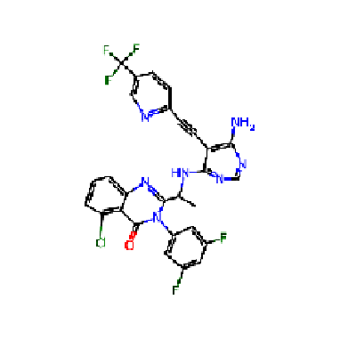 CC(Nc1ncnc(N)c1C#Cc1ccc(C(F)(F)F)cn1)c1nc2cccc(Cl)c2c(=O)n1-c1cc(F)cc(F)c1